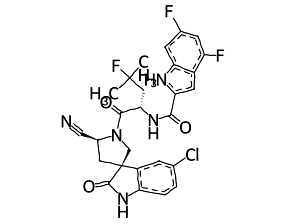 CC(C)(F)C[C@H](NC(=O)c1cc2c(F)cc(F)cc2[nH]1)C(=O)N1C[C@]2(C[C@H]1C#N)C(=O)Nc1ccc(Cl)cc12